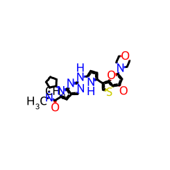 CN(C)C(=O)c1cc2cnc(Nc3ccc(-c4csc5c(=O)cc(N6CCOCC6)oc45)[nH]3)nc2n1C1CCCC1